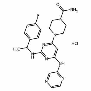 CC(Nc1nc(Nc2cnccn2)cc(N2CCC(C(N)=O)CC2)n1)c1ccc(F)cc1.Cl